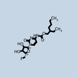 CCCCC(CC)COC(=O)Nc1ccn([C@@H]2O[C@H](CF)C(O)C2O)c(=O)n1